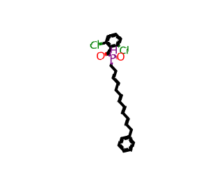 O=C(c1c(Cl)cccc1Cl)[PH](=O)CCCCCCCCCCCCc1ccccc1